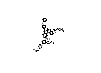 C=CC(=O)Nc1cccc(N2C(=O)N(c3ccc(Oc4ccccc4)cc3)Cc3cnc(Nc4ccc(N5CCN(C)CC5)cc4OC)nc32)c1